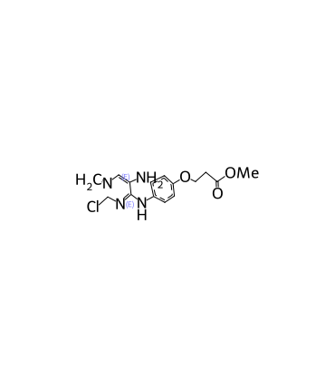 C=N/C=C(N)\C(=N/CCl)Nc1ccc(OCCC(=O)OC)cc1